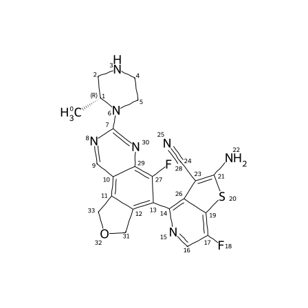 C[C@@H]1CNCCN1c1ncc2c3c(c(-c4ncc(F)c5sc(N)c(C#N)c45)c(F)c2n1)COC3